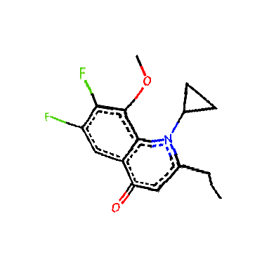 CCc1cc(=O)c2cc(F)c(F)c(OC)c2n1C1CC1